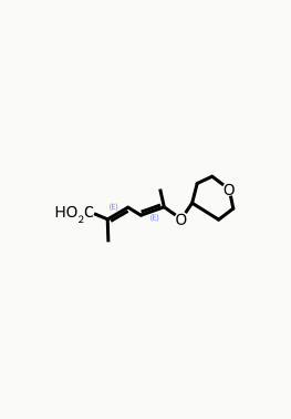 C/C(=C\C=C(/C)C(=O)O)OC1CCOCC1